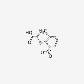 C=C(Sc1c(C)cccc1[N+](=O)[O-])C(=O)O